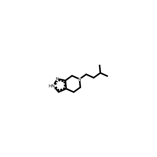 CC(C)CCN1CCc2c[nH]nc2C1